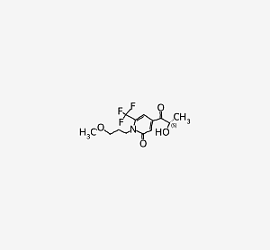 COCCCn1c(C(F)(F)F)cc(C(=O)[C@H](C)O)cc1=O